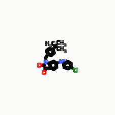 CC(C)(C)c1ccc(CN2C(=O)C(=O)c3ccc(Nc4ccc(Cl)cc4)cc32)cc1